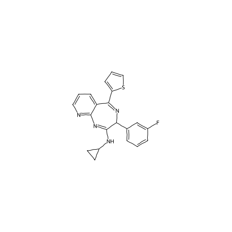 Fc1cccc(C2N=C(c3cccs3)c3cccnc3N=C2NC2CC2)c1